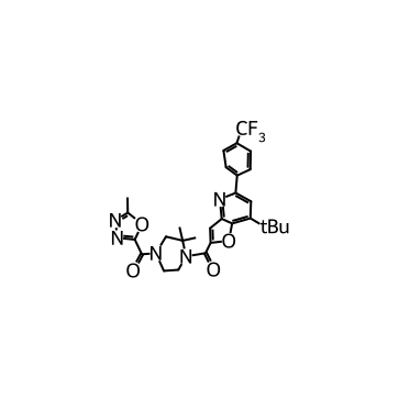 Cc1nnc(C(=O)N2CCN(C(=O)c3cc4nc(-c5ccc(C(F)(F)F)cc5)cc(C(C)(C)C)c4o3)C(C)(C)C2)o1